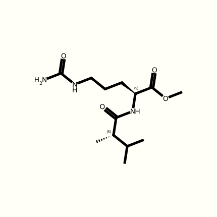 COC(=O)[C@H](CCCNC(N)=O)NC(=O)[C@@H](C)C(C)C